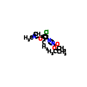 Cc1c(OCCN(C)C)cc(Cl)cc1N1CCN(C(=O)OC(C)(C)C)CC1